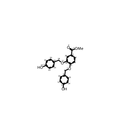 COC(=O)c1ccc(OCc2ccc(O)cc2)c(OCc2ccc(O)cc2)c1